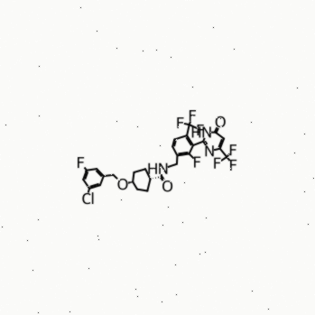 O=c1cc(C(F)(F)F)nc(-c2c(C(F)(F)F)ccc(CNC(=O)[C@H]3CC[C@H](OCc4cc(F)cc(Cl)c4)CC3)c2F)[nH]1